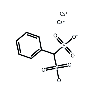 O=S(=O)([O-])C(c1ccccc1)S(=O)(=O)[O-].[Cs+].[Cs+]